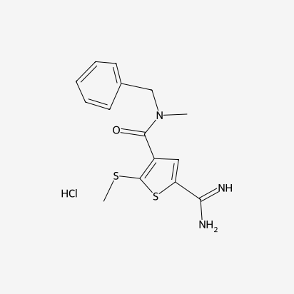 CSc1sc(C(=N)N)cc1C(=O)N(C)Cc1ccccc1.Cl